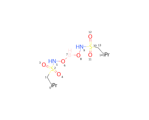 CC(C)CS(=O)(=O)NOBONS(=O)(=O)CC(C)C